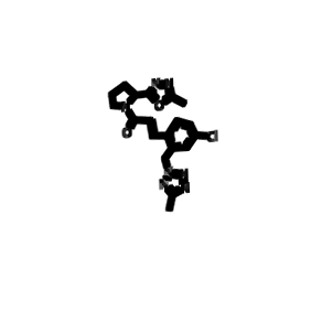 Cc1nnn(Cc2cc(Cl)ccc2/C=C/C(=O)N2CCCC2c2nnc(C)o2)n1